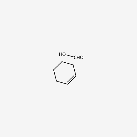 C1=CCCCC1.O=CO